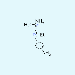 CC/C(=C\C=C(/C)N)Cc1ccc(N)cc1